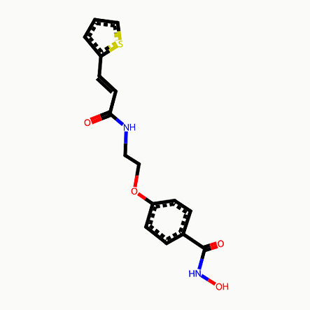 O=C(C=Cc1cccs1)NCCOc1ccc(C(=O)NO)cc1